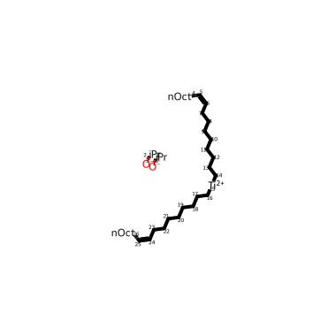 CC(C)[O-].CC(C)[O-].CCCCCCCC/C=C\CCCCCCC[CH2][Ti+2][CH2]CCCCCCC/C=C\CCCCCCCC